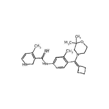 CC1=C(C(=N)Nc2ccc(C(=C3CCC3)N3CCOC(C)(C)C3)c(C)c2)CNC=C1